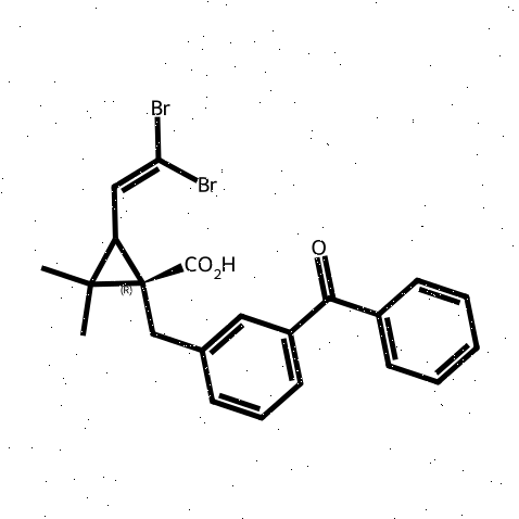 CC1(C)C(C=C(Br)Br)[C@@]1(Cc1cccc(C(=O)c2ccccc2)c1)C(=O)O